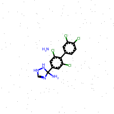 N.NC1(c2cc(Cl)c(-c3ccc(Cl)c(Cl)c3)c(Cl)c2)N=CNN1